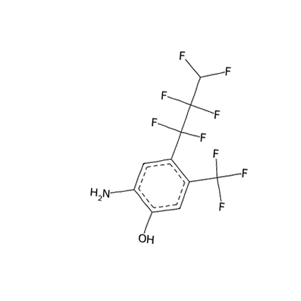 Nc1cc(C(F)(F)C(F)(F)C(F)F)c(C(F)(F)F)cc1O